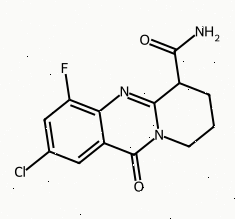 NC(=O)C1CCCn2c1nc1c(F)cc(Cl)cc1c2=O